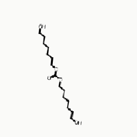 O=C(OCCCCCCCO)OCCCCCCCO